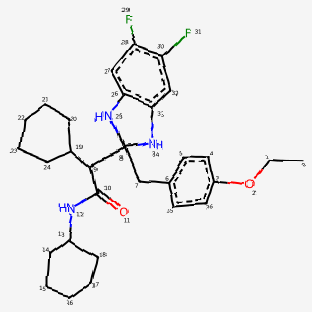 CCOc1ccc(CC2(C(C(=O)NC3CCCCC3)C3CCCCC3)Nc3cc(F)c(F)cc3N2)cc1